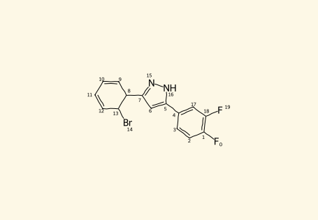 Fc1ccc(-c2cc(C3C=CC=CC3Br)n[nH]2)cc1F